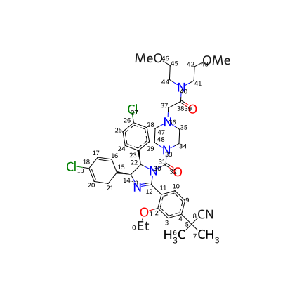 CCOc1cc(C(C)(C)C#N)ccc1C1=N[C@@H](C2C=CC(Cl)=CC2)[C@@H](c2ccc(Cl)cc2)N1C(=O)N1CCN(CC(=O)N(CCOC)CCOC)CC1